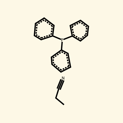 CCC#N.c1ccc(P(c2ccccc2)c2ccccc2)cc1